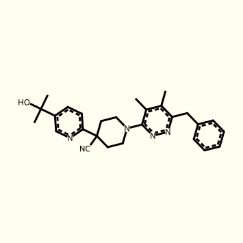 Cc1c(Cc2ccccc2)nnc(N2CCC(C#N)(c3ccc(C(C)(C)O)cn3)CC2)c1C